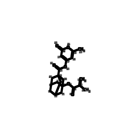 C=C(C)C(=O)OC12CC3CC(C1)CC(C(=O)Oc1cc(C)oc(=O)c1)(C3)C2